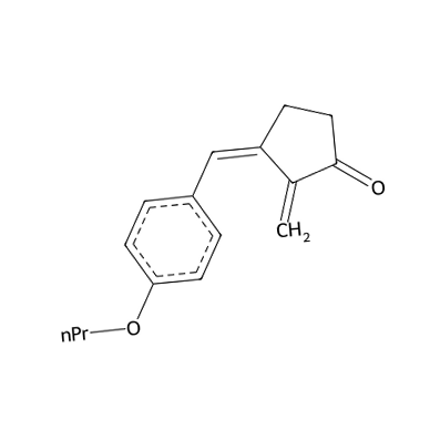 C=C1C(=O)CCC1=Cc1ccc(OCCC)cc1